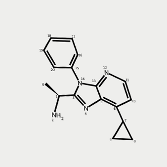 C[C@H](N)c1nc2c(C3CC3)ccnc2n1-c1ccccc1